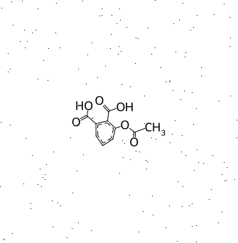 CC(=O)Oc1cccc(C(=O)O)c1C(=O)O